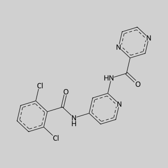 O=C(Nc1cc(NC(=O)c2c(Cl)cccc2Cl)ccn1)c1cnccn1